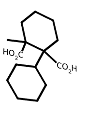 CC1(C(=O)O)CCCCC1(C(=O)O)C1CCCCC1